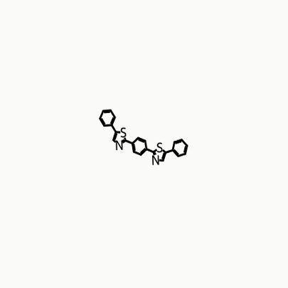 c1ccc(-c2cnc(-c3ccc(-c4ncc(-c5ccccc5)s4)cc3)s2)cc1